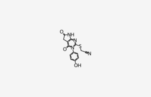 N#CCSc1nc2c(c(=O)n1-c1ccc(O)cc1)CC(=O)N2